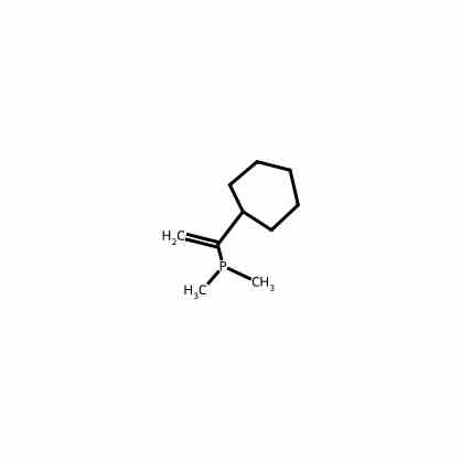 C=C(C1CCCCC1)P(C)C